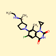 CCN[C@@H](C)C1CCN(c2c(F)cc3c(=O)[nH]c(=O)n(C4CC4)c3c2C)C1